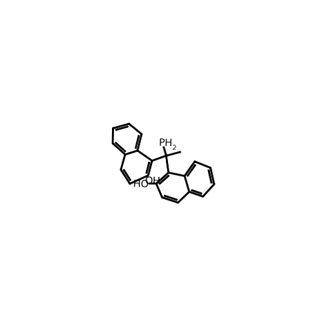 CC(P)(c1c(O)ccc2ccccc12)c1c(O)ccc2ccccc12